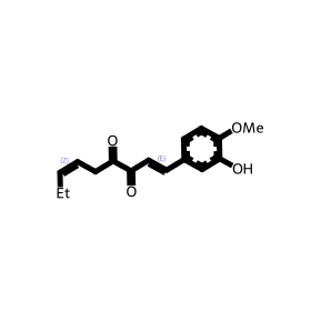 CC/C=C\CC(=O)C(=O)/C=C/c1ccc(OC)c(O)c1